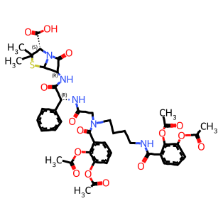 CC(=O)Oc1cccc(C(=O)NCCCCN(CC(=O)N[C@@H](C(=O)N[C@@H]2C(=O)N3C2SC(C)(C)[C@@H]3C(=O)O)c2ccccc2)C(=O)c2cccc(OC(C)=O)c2OC(C)=O)c1OC(C)=O